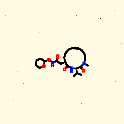 CC(C)[C@@H]1NC(=O)[C@@H](CC(=O)NOC2CCCCO2)CCCC=CCCCN(C)C1=O